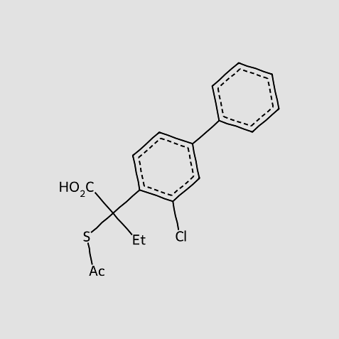 CCC(SC(C)=O)(C(=O)O)c1ccc(-c2ccccc2)cc1Cl